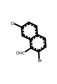 O=Cc1c(Br)ccc2ccc(Cl)cc12